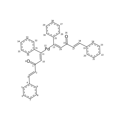 O=C(/C=C/c1ccccc1)/C=[C](/[Pd]/[C](=C/C(=O)/C=C/c1ccccc1)c1ccccc1)c1ccccc1